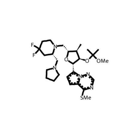 COC(C)(C)O[C@@H]1[C@H](C)[C@@H](CN2CCC(F)(F)C[C@H]2CN2CCCC2)O[C@H]1c1ccc2c(SC)ncnn12